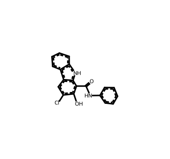 O=C(Nc1ccccc1)c1c(O)c(Cl)cc2c1[nH]c1ccccc12